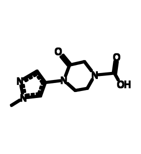 Cn1cc(N2CCN(C(=O)O)CC2=O)cn1